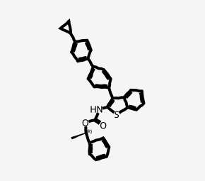 C[C@@H](OC(=O)Nc1sc2ccccc2c1-c1ccc(-c2ccc(C3CC3)cc2)cc1)c1ccccc1